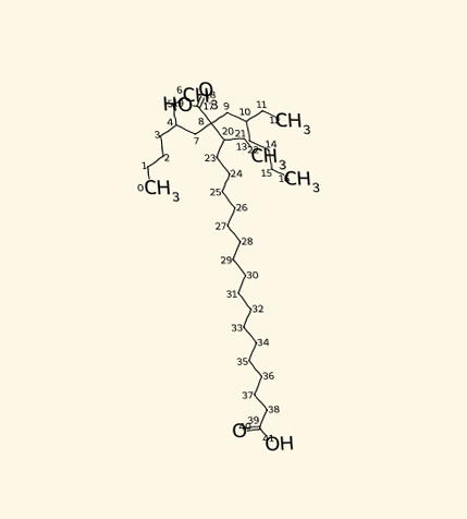 CCCCC(CC)CC(CC(CC)CCCC)(C(=O)O)C(CC)CCCCCCCCCCCCCCCCC(=O)O